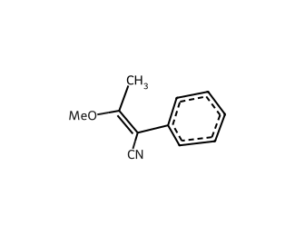 CO/C(C)=C(\C#N)c1ccccc1